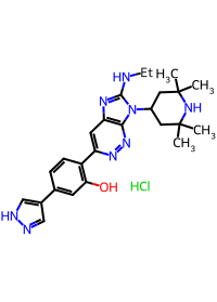 CCNc1nc2cc(-c3ccc(-c4cn[nH]c4)cc3O)nnc2n1C1CC(C)(C)NC(C)(C)C1.Cl